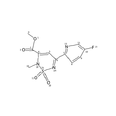 COC(=O)C1=CC(c2ccc(F)cn2)=NS(=O)(=O)N1C